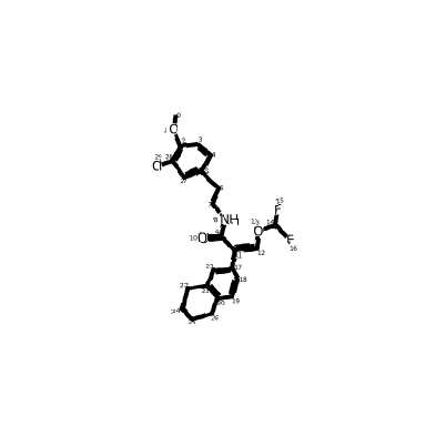 COc1ccc(CCNC(=O)C(=COC(F)F)c2ccc3c(c2)CCCC3)cc1Cl